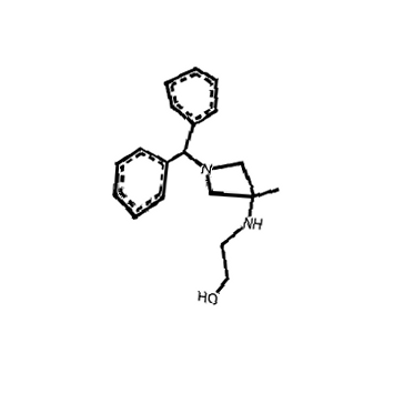 CC1(NCCO)CN(C(c2ccccc2)c2ccccc2)C1